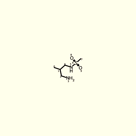 CC(CN)CNS(C)(=O)=O